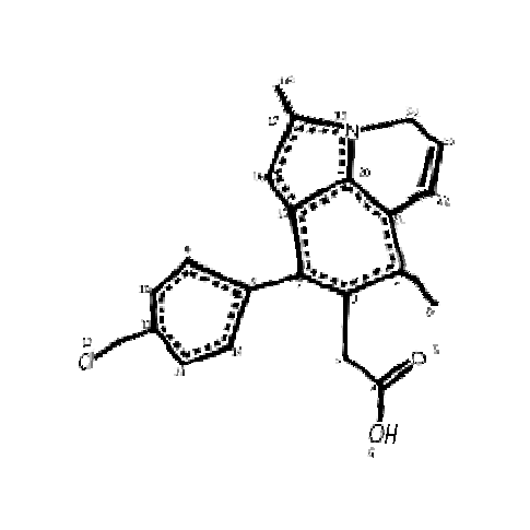 Cc1c(CC(=O)O)c(-c2ccc(Cl)cc2)c2cc(C)n3c2c1C=CC3